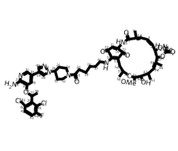 COC1C=CC=C(C)C(=O)NC2=CC(=O)C(NCCCCCC(=O)N3CCC(n4cc(-c5cnc(N)c(OC(C)c6c(Cl)ccc(F)c6Cl)c5)cn4)CC3)=C(CC(C)CC(OC)C(O)C(C)C=C(C)C1OC(N)=O)C2=O